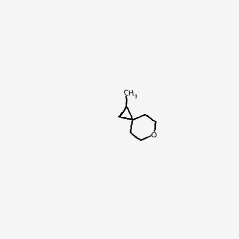 CC1CC12CCOCC2